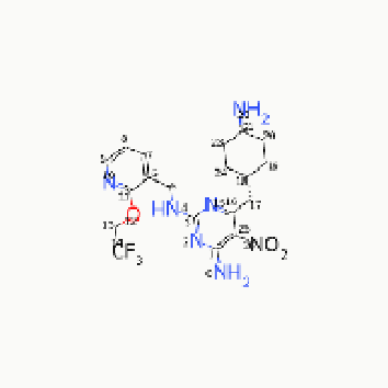 Nc1nc(NCc2cccnc2OCC(F)(F)F)nc(C[C@H]2CC[C@H](N)CC2)c1[N+](=O)[O-]